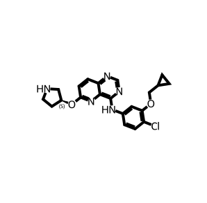 Clc1ccc(Nc2ncnc3ccc(O[C@H]4CCNC4)nc23)cc1OCC1CC1